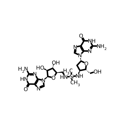 C[Si](C)(NC[C@H]1O[C@@H](n2cnc3c(=O)[nH]c(N)nc32)[C@@H](O)[C@@H]1O)N[C@H]1C[C@H](n2cnc3c(=O)[nH]c(N)nc32)O[C@@H]1CO